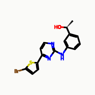 C[C@@H](O)c1cccc(Nc2nccc(-c3ccc(Br)s3)n2)c1